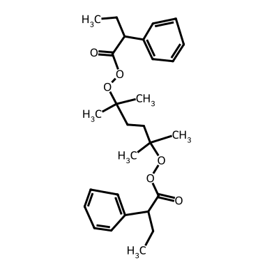 CCC(C(=O)OOC(C)(C)CCC(C)(C)OOC(=O)C(CC)c1ccccc1)c1ccccc1